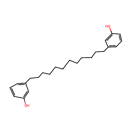 Oc1cccc(CCCCCCCCCCCCc2cccc(O)c2)c1